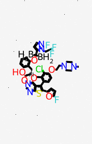 BC(B)(Oc1ccccc1C[C@@H](Oc1ncnc2sc(-c3ccc(F)o3)c(-c3ccc(OCCN4CCN(C)CC4)c(Cl)c3C)c12)C(=O)O)c1ccnn1CC(F)(F)F